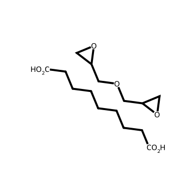 C(OCC1CO1)C1CO1.O=C(O)CCCCCCCC(=O)O